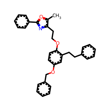 Cc1oc(-c2ccccc2)nc1CCOc1ccc(OCc2ccccc2)cc1CCc1ccccc1